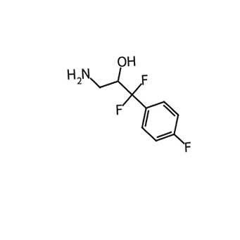 NCC(O)C(F)(F)c1ccc(F)cc1